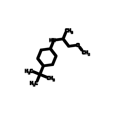 COCC(C)NC1CCC(C(C)(C)C)CC1